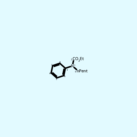 CCCCCN(C(=O)OCC)c1ccccc1